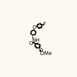 COCOc1ccc(C(=O)NC[C@H]2CC[C@@H](Oc3ccc(F)cc3)CC2)cc1